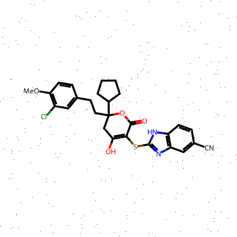 COc1ccc(CCC2(C3CCCC3)CC(O)=C(Sc3nc4cc(C#N)ccc4[nH]3)C(=O)O2)cc1Cl